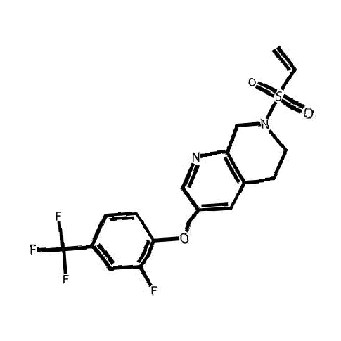 C=CS(=O)(=O)N1CCc2cc(Oc3ccc(C(F)(F)F)cc3F)cnc2C1